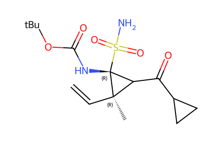 C=C[C@]1(C)C(C(=O)C2CC2)[C@@]1(NC(=O)OC(C)(C)C)S(N)(=O)=O